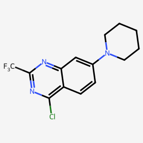 FC(F)(F)c1nc(Cl)c2ccc(N3CCCCC3)cc2n1